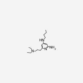 CCCCNc1cc(N)nc(CCCN(CC)CC)c1